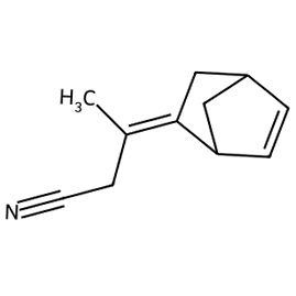 CC(CC#N)=C1CC2C=CC1C2